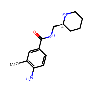 COc1cc(C(=O)NC[C@@H]2CCCCN2)ccc1N